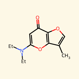 CCN(CC)c1cc(=O)c2occ(C)c2o1